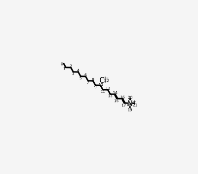 CCCCCCCCCCCCCC/C=C/C=C/[N+](C)(C)C.[Cl-]